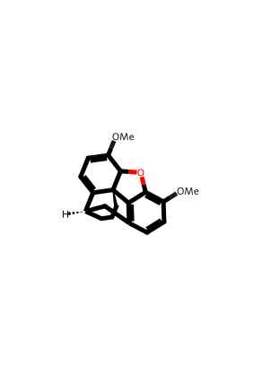 COC1=CC=C2[C@@H]3CCC[C@@]24c2c(ccc(OC)c2OC14)C3